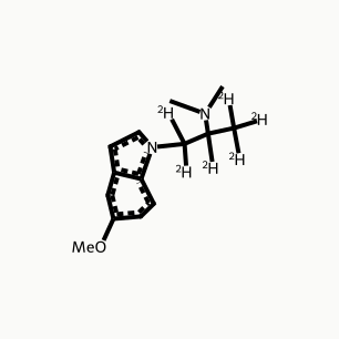 [2H]C([2H])([2H])C([2H])(N(C)C)C([2H])([2H])n1ccc2cc(OC)ccc21